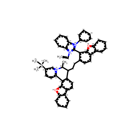 C=C[n+]1c(-c2c(CCC3c4ccc5c(oc6ccccc65)c4-c4ccc([Si](C)(C)C)c[n+]4C3C)ccc3c2oc2ccccc23)n(-c2ccccc2)c2ccccc21